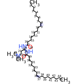 CCCCCCCC/C=C\CCCCCCCC(=O)NC(CCN(C)C)NC(=O)CCCCCCC/C=C\CCCCCCCC